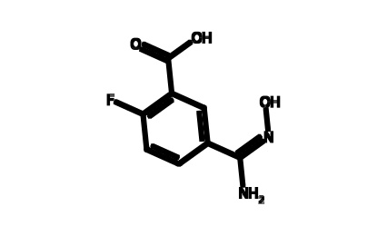 N/C(=N/O)c1ccc(F)c(C(=O)O)c1